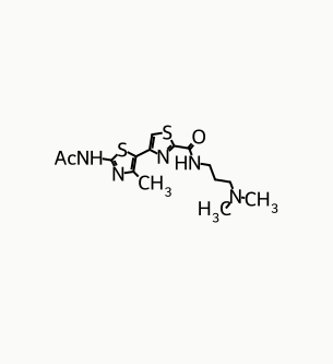 CC(=O)Nc1nc(C)c(-c2csc(C(=O)NCCCN(C)C)n2)s1